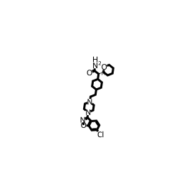 NC(=O)C(C1CCC(CCN2CCN(c3noc4cc(Cl)ccc34)CC2)CC1)[C@H]1CCCCO1